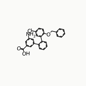 Nc1cc(C(=O)O)cc(-c2ccccc2-c2cc(Cl)ccc2OCc2ccccc2)c1